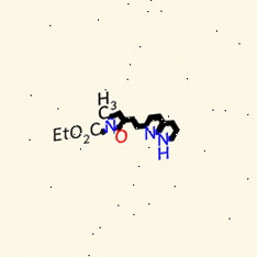 CCOC(=O)CN1C(=O)C(CCc2ccc3c(n2)NCCC3)CC1C